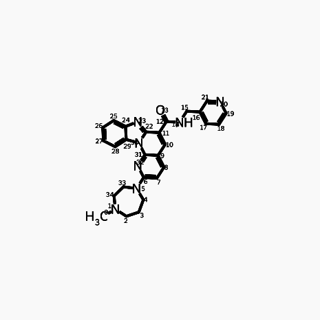 CN1CCCN(c2ccc3cc(C(=O)NCc4cccnc4)c4nc5ccccc5n4c3n2)CC1